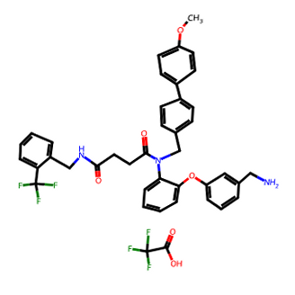 COc1ccc(-c2ccc(CN(C(=O)CCC(=O)NCc3ccccc3C(F)(F)F)c3ccccc3Oc3cccc(CN)c3)cc2)cc1.O=C(O)C(F)(F)F